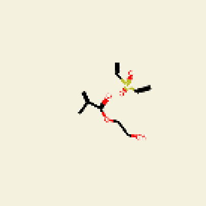 C=C(C)C(=O)OCCO.C=CS(=O)(=O)C=C